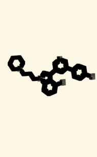 Clc1ccc(-c2cncc(-c3cn(CCCN4CCCCC4)c4cccc(Cl)c34)c2)cc1